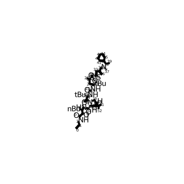 C=CCNC(=O)C(=O)C(CCCC)NC(=O)[C@@H]1[C@@H]2[C@H](CN1C(=O)[C@@H](NC(=O)N[C@H](CC(C)S(=O)(=O)c1cc(CN(C)C(C)c3ccccc3)cs1)C(C)(C)C)C(C)(C)C)C2(C)C